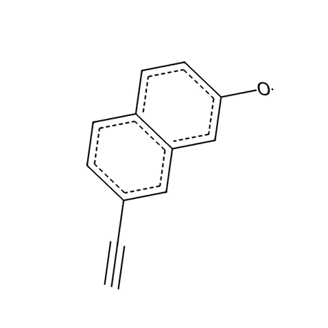 C#Cc1ccc2ccc([O])cc2c1